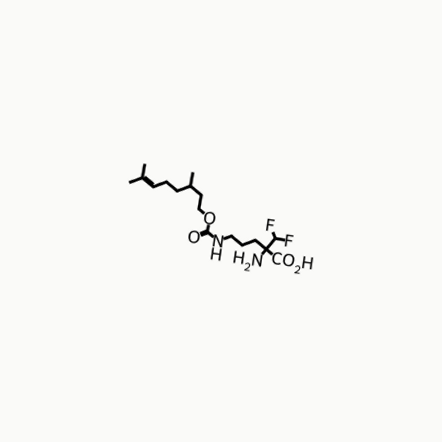 CC(C)=CCCC(C)CCOC(=O)NCCCC(N)(C(=O)O)C(F)F